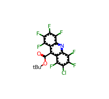 CC(C)(C)OC(=O)c1c2c(F)c(F)c(F)c(F)c2nc2c(F)c(F)c(Cl)c(F)c12